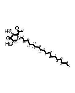 CCCCCCCCCCCCCCCCCCn1cc(O)c(=O)c(O)c1C(C)=O